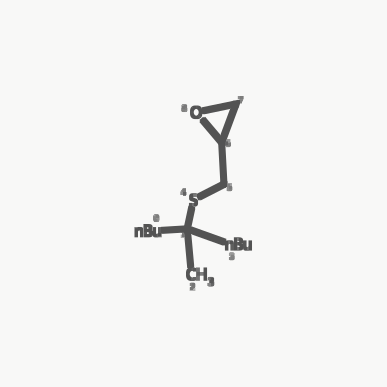 CCCCC(C)(CCCC)SCC1CO1